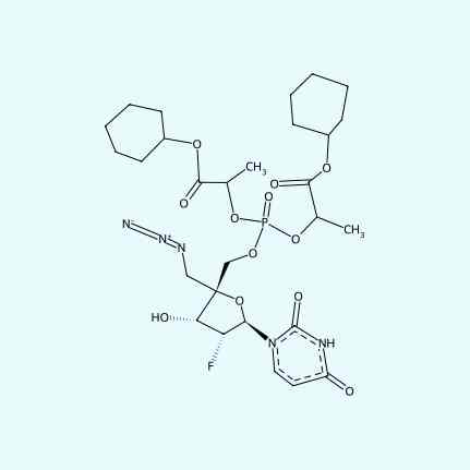 CC(OP(=O)(OC[C@@]1(CN=[N+]=[N-])O[C@@H](n2ccc(=O)[nH]c2=O)[C@H](F)[C@@H]1O)OC(C)C(=O)OC1CCCCC1)C(=O)OC1CCCCC1